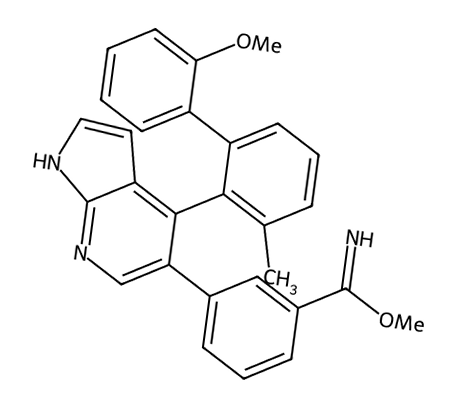 COC(=N)c1cccc(-c2cnc3[nH]ccc3c2-c2c(C)cccc2-c2ccccc2OC)c1